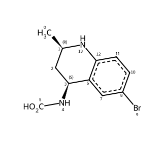 C[C@@H]1C[C@H](NC(=O)O)c2cc(Br)ccc2N1